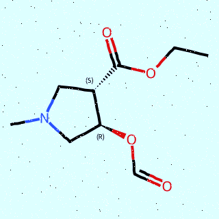 CCOC(=O)[C@H]1CN(C)C[C@@H]1OC=O